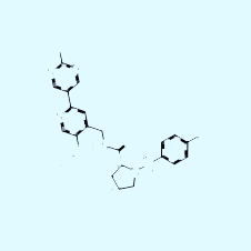 O=C(NCc1cc(-c2cnc(C(F)(F)F)nc2)ncc1OC(F)(F)F)[C@@H]1C[C@@H](F)CN1S(=O)(=O)c1ccc(F)cc1